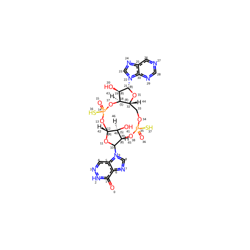 O=c1[nH]ncc2c1ncn2C1O[C@@H]2OP(=O)(S)O[C@H]3[C@@H](O)[C@H](n4cnc5cncnc54)O[C@@H]3COP(=O)(S)O[C@@H]1[C@@H]2O